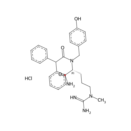 CN(CCC[C@H](C(N)=O)N(Cc1ccc(O)cc1)C(=O)C(c1ccccc1)c1ccccc1)C(=N)N.Cl